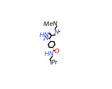 CNCCN(C)CC1=CNN(C)C1[C@H]1CC[C@@H](C(=O)NCCC(C)C)CC1